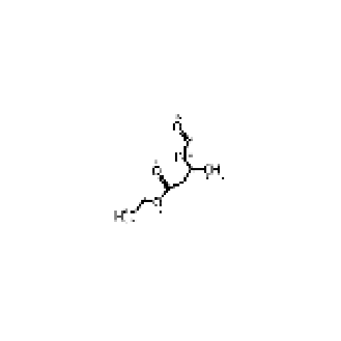 CCOC(=O)CC(C)NC=O